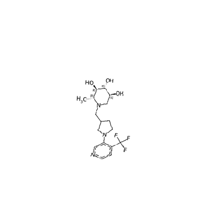 C[C@@H]1[C@@H](O)[C@H](O)[C@@H](O)CN1CC1CCN(c2cnccc2C(F)(F)F)C1